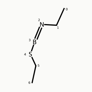 CCN=BSCC